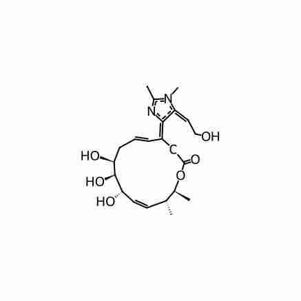 Cc1nc(=C2\C=C\C[C@H](O)[C@H](O)[C@@H](O)/C=C\[C@@H](C)[C@H](C)OC(=O)C2)/c(=C\CO)n1C